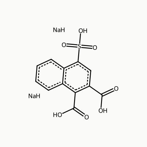 O=C(O)c1cc(S(=O)(=O)O)c2ccccc2c1C(=O)O.[NaH].[NaH]